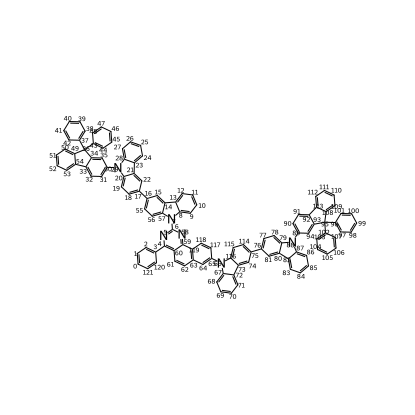 c1ccc(-c2nc(-n3c4ccccc4c4cc(-c5ccc6c(c5)c5ccccc5n6-c5ccc6c(c5)C(c5ccccc5)(c5ccccc5)c5ccccc5-6)ccc43)nc3c2ccc2cc(-n4c5ccccc5c5cc(-c6ccc7c(c6)c6ccccc6n7-c6ccc7c(c6)C(c6ccccc6)(c6ccccc6)c6ccccc6-7)ccc54)ccc23)cc1